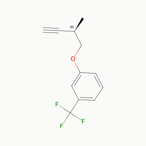 C#C[C@@H](C)COc1cccc(C(F)(F)F)c1